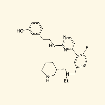 CCN(Cc1ccc(F)c(-c2ccnc(NCCc3cccc(O)c3)n2)c1)C[C@H]1CCCNC1